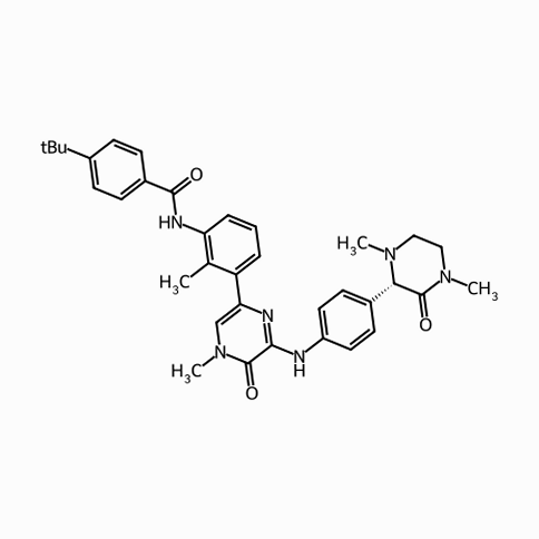 Cc1c(NC(=O)c2ccc(C(C)(C)C)cc2)cccc1-c1cn(C)c(=O)c(Nc2ccc([C@H]3C(=O)N(C)CCN3C)cc2)n1